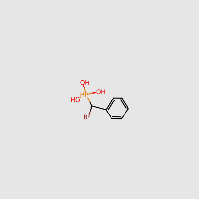 O[PH](O)(O)C(Br)c1ccccc1